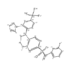 O=S(=O)(Nc1cccc(F)n1)c1ccc2c(c1)OCCC2c1ccc(C(F)(F)F)cc1-n1cccn1